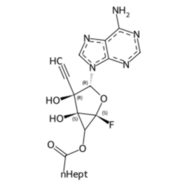 C#C[C@]1(O)[C@H](n2cnc3c(N)ncnc32)O[C@]2(F)C(OC(=O)CCCCCCC)[C@@]21O